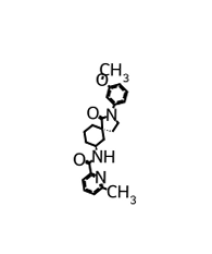 COc1cccc(N2CC[C@]3(CCC[C@H](NC(=O)c4cccc(C)n4)C3)C2=O)c1